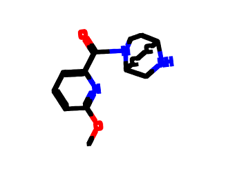 COc1cccc(C(=O)N2CCC3CCC2CN3)n1